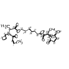 C/C=C\C(=O)N(C=O)C(C)C(=O)OCCCCCCOC(=O)C(C)N1C(=O)C=CC1=O